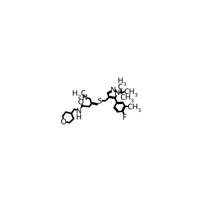 C=NC/C(=C\SCc1cnn(C(C)(C)C)c1-c1ccc(F)c(C)c1)CC(=O)NCC1CCOCC1